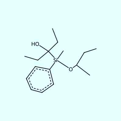 CCC(C)O[Si](C)(c1ccccc1)C(O)(CC)CC